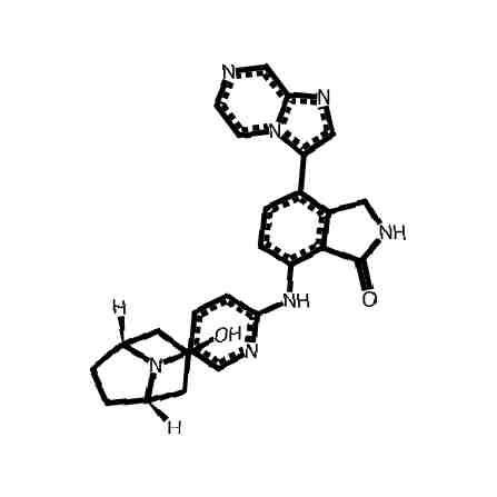 O=C1NCc2c(-c3cnc4cnccn34)ccc(Nc3ccc(N4[C@@H]5CC[C@H]4CC(O)C5)cn3)c21